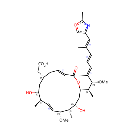 CO[C@@H]1/C=C/[C@@H](C)[C@H](O)C[C@H](CC(=O)O)C/C=C/C(=O)OC([C@H](C)[C@@H](OC)/C(C)=C/C=C/C(C)=C/c2coc(C)n2)C[C@H](O)[C@@H]1C